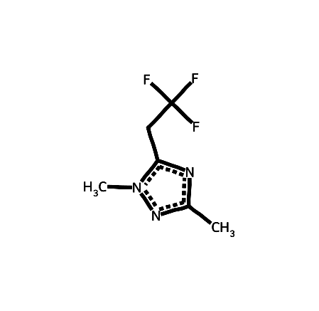 Cc1nc(CC(F)(F)F)n(C)n1